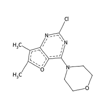 Cc1oc2c(N3CCOCC3)nc(Cl)nc2c1C